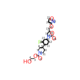 O=C(OCCO)N1CC=C(c2ccc(N3CC(COc4ccon4)OC3=O)cc2F)CC1